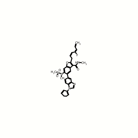 C=C/C=C(F)\C=C/Cc1oc2cc(N(C)S(C)(=O)=O)c(-c3ccc4c(c3)ncn4C3=CCCC=C3)cc2c1C(=O)NC